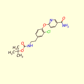 CC(C)(C)OC(=O)NCCc1ccc(Oc2ccc(C(N)=O)cn2)c(Cl)c1